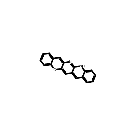 C1=c2cc3c(nc2Nc2ccccc21)=Cc1ccccc1O3